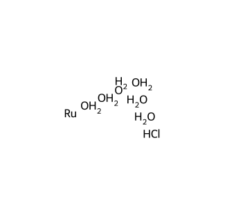 Cl.O.O.O.O.O.O.[Ru]